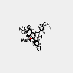 CNC(=O)[C@@H](N[C@H](CCc1ccc(C(F)(F)F)nc1)c1ccc(Cl)c(OC)c1)c1ccc(Cl)cc1